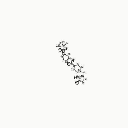 CC1(C)OB(c2ccc3oc(C4CCN(C[C@@H]5CCC(=O)N5)CC4)nc3c2)OC1(C)C